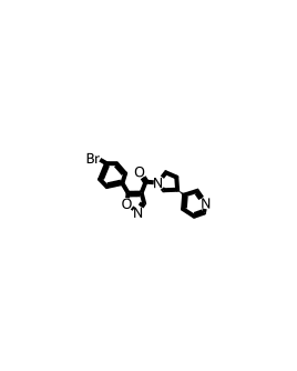 O=C(c1cnoc1-c1ccc(Br)cc1)N1CC[C@H](c2cccnc2)C1